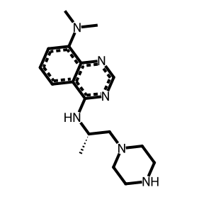 C[C@@H](CN1CCNCC1)Nc1ncnc2c(N(C)C)cccc12